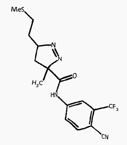 CSCCC1CC(C)(C(=O)Nc2ccc(C#N)c(C(F)(F)F)c2)N=N1